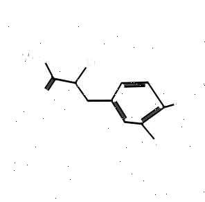 COC(=O)C(Br)Cc1ccc(Cl)c(Cl)c1